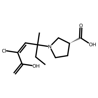 C=C(O)/C(Cl)=C\C(C)(CC)N1CC[C@@H](C(=O)O)C1